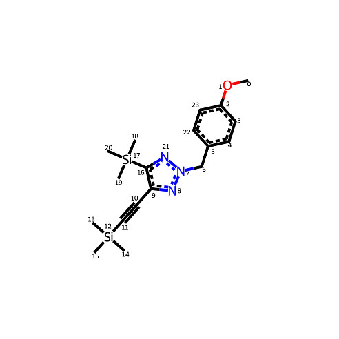 COc1ccc(Cn2nc(C#C[Si](C)(C)C)c([Si](C)(C)C)n2)cc1